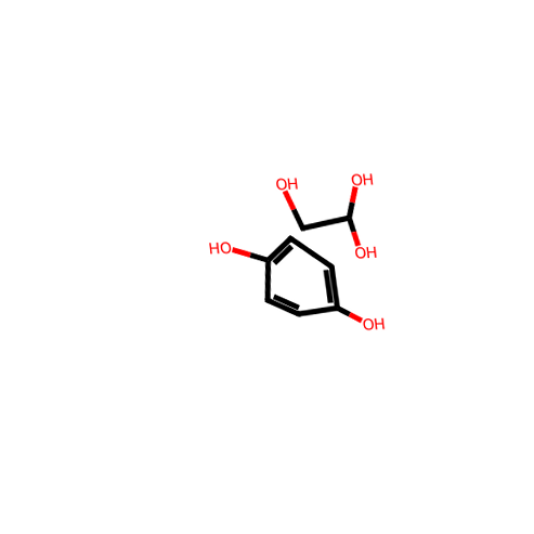 OCC(O)O.Oc1ccc(O)cc1